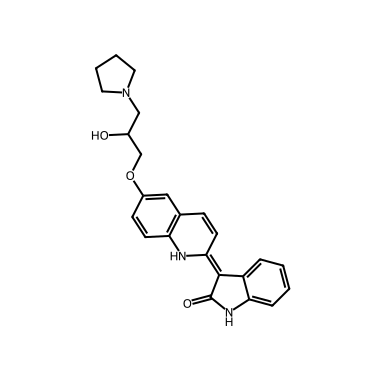 O=C1Nc2ccccc2/C1=C1\C=Cc2cc(OCC(O)CN3CCCC3)ccc2N1